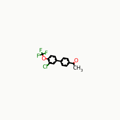 CC(=O)c1ccc(-c2ccc(OC(F)(F)F)c(Cl)c2)cc1